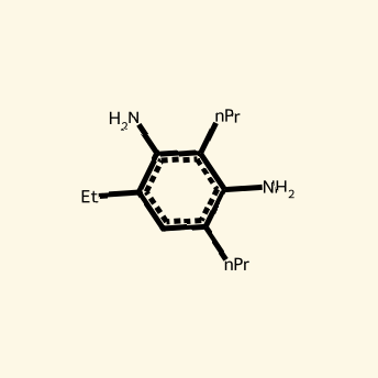 CCCc1cc(CC)c(N)c(CCC)c1N